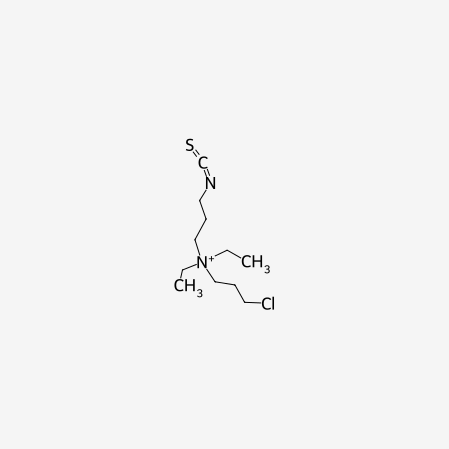 CC[N+](CC)(CCCCl)CCCN=C=S